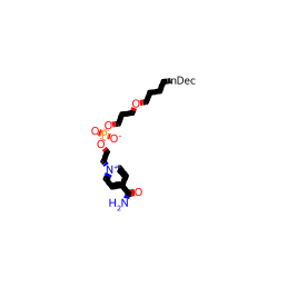 CCCCCCCCCCCCCCOCCCOP(=O)([O-])OCC[n+]1ccc(C(N)=O)cc1